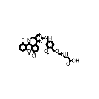 COc1cc(Nc2ncc3c(n2)-c2ccc(Cl)cc2C(c2c(F)cccc2OC)=NC3)ccc1COCNCCC(=O)O